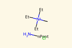 CCCCCN.CC[N+](C)(CC)CC.[Cl-]